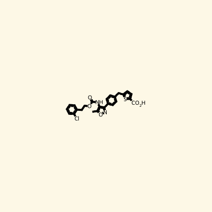 Cc1onc(-c2ccc(Cc3ccc(C(=O)O)s3)cc2)c1NC(=O)OCCc1ccccc1Cl